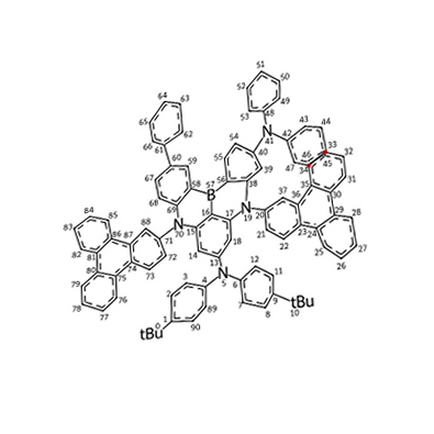 CC(C)(C)c1ccc(N(c2ccc(C(C)(C)C)cc2)c2cc3c4c(c2)N(c2ccc5c6ccccc6c6ccccc6c5c2)c2cc(N(c5ccccc5)c5ccccc5)ccc2B4c2cc(-c4ccccc4)ccc2N3c2ccc3c4ccccc4c4ccccc4c3c2)cc1